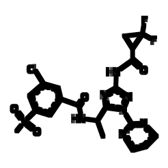 CC(NC(=O)c1cc(Cl)cc(S(C)(=O)=O)c1)c1nc(NC(=O)C2CC2(F)F)nn1-c1ncccn1